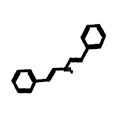 C(=Cc1ccccc1)[SiH2]C=Cc1ccccc1